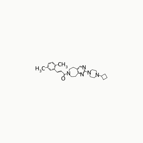 Cc1ccc(C)c(/C=C/C(=O)N2CCc3cnc(N4CCN(C5CCC5)CC4)nc3CC2)c1